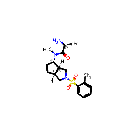 CCC[C@H](N)C(=O)N(C)[C@H]1CC[C@@H]2CN(S(=O)(=O)c3ccccc3C(F)(F)F)C[C@@H]21